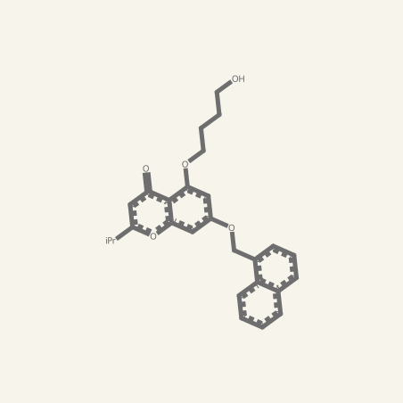 CC(C)c1cc(=O)c2c(OCCCCO)cc(OCc3cccc4ccccc34)cc2o1